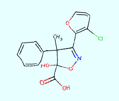 CC1(c2ccccc2)C(c2occc2Cl)=NOC1(O)C(=O)O